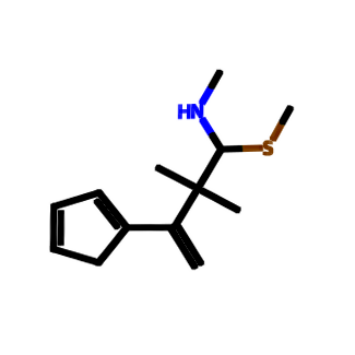 C=C(C1=CC=CC1)C(C)(C)C(NC)SC